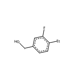 CCc1ccc([CH]O)cc1F